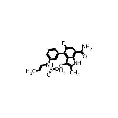 CC=CN(c1cccc(-c2c(F)cc(C(N)=O)c3[nH]c(C)c(C)c23)c1)[SH](=O)=O